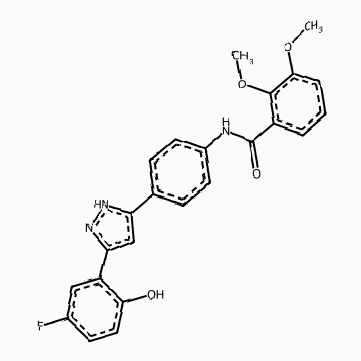 COc1cccc(C(=O)Nc2ccc(-c3cc(-c4cc(F)ccc4O)n[nH]3)cc2)c1OC